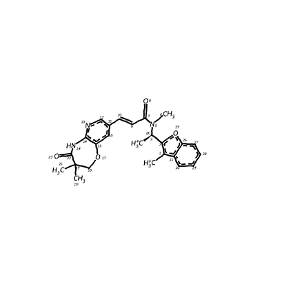 Cc1c([C@@H](C)N(C)C(=O)C=Cc2cnc3c(c2)OCC(C)(C)C(=O)N3)oc2ccccc12